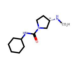 O=C(O)N[C@H]1CCN(C(=O)NC2CCCCC2)C1